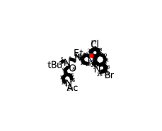 CCN(CCN(CC(C)(C)C)C(=O)CC1CCN(C(C)=O)CC1)C1CCN(C2(C)c3ccc(Cl)cc3CCc3cc(Br)cnc32)CC1